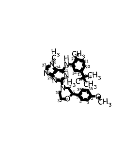 COc1ccc(C2CN(c3nc(Nc4cc(C(C)(C)C)ccc4C)c4c(ncn4C)n3)CCO2)cc1